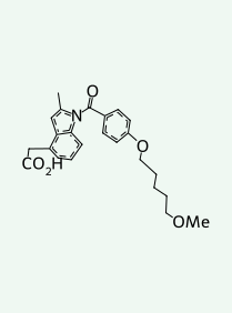 COCCCCCOc1ccc(C(=O)n2c(C)cc3c(CC(=O)O)cccc32)cc1